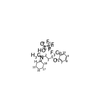 CN(CCCOc1c[c]ccc1C(F)(F)F)C1CCCCC1.O=C(O)C(F)(F)F